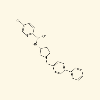 [O-][S@+](N[C@@H]1CCN(Cc2ccc(-c3ccccc3)cc2)C1)c1ccc(Cl)cn1